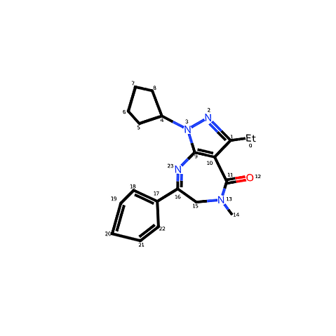 CCc1nn(C2CCCC2)c2c1C(=O)N(C)CC(c1ccccc1)=N2